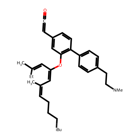 CC\C(C)=C/C(=C\C(C)=C/CCCC(C)CC)Oc1cc(C=C=O)ccc1-c1ccc(CCNC)cc1